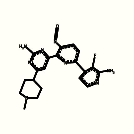 CN1CCC(c2cc(-c3nc(-c4ccnc(N)c4F)ccc3N=O)nc(N)n2)CC1